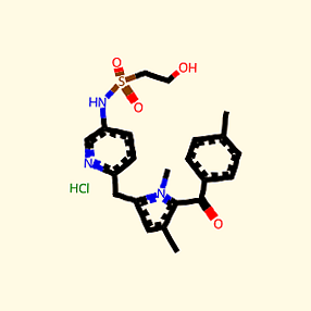 Cc1ccc(C(=O)c2c(C)cc(Cc3ccc(NS(=O)(=O)CCO)cn3)n2C)cc1.Cl